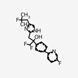 CC(C)(F)Cc1c[nH]c(CC(O)(c2ccc(-c3ccc(F)cn3)cc2)C(F)F)n1